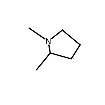 CC1[CH]CCN1C